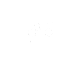 CC(=O)Nc1ccccc1-n1ncc2ccc(C(C)C)cc21